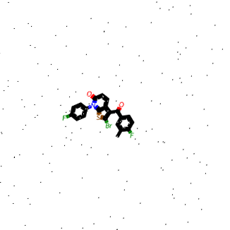 Cc1cc(C(=O)c2c(Br)sc3c2ccc(=O)n3-c2ccc(F)cc2)ccc1F